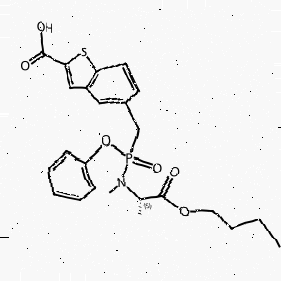 CCCCOC(=O)[C@H](C)N(C)P(=O)(Cc1ccc2sc(C(=O)O)cc2c1)Oc1ccccc1